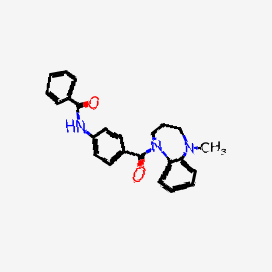 CN1CCCN(C(=O)c2ccc(NC(=O)c3ccccc3)cc2)c2ccccc21